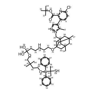 Cc1c(-c2ccc(Cl)nc2C(=O)OC(C)(C)C)cnn1CC12CC3(C)CC(C)(C1)CC(OCCNCCC(O)(O)OCC(C)(C)CCO[Si](c1ccccc1)(c1ccccc1)C(C)(C)S)(C3)C2